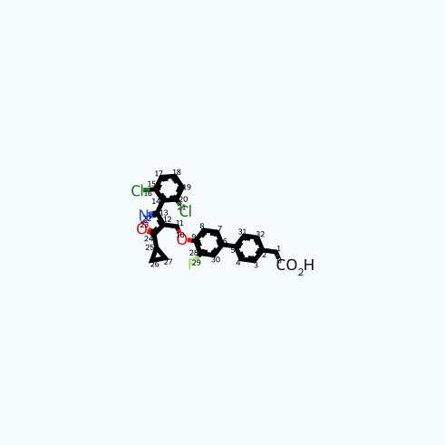 O=C(O)Cc1ccc(-c2ccc(OCc3c(-c4c(Cl)cccc4Cl)noc3C3CC3)c(F)c2)cc1